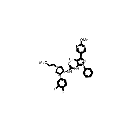 COCCN1C[C@@H](NC(=O)Nc2c(C)c(-c3cnc(OC)nc3)nn2-c2ccccc2)[C@H](c2ccc(F)c(F)c2)C1